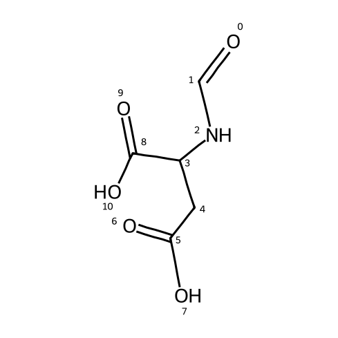 O=CNC(CC(=O)O)C(=O)O